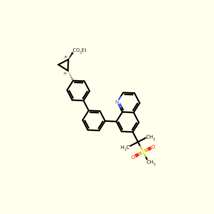 CCOC(=O)[C@@H]1C[C@H]1c1ccc(-c2cccc(-c3cc(C(C)(C)S(C)(=O)=O)cc4cccnc34)c2)cc1